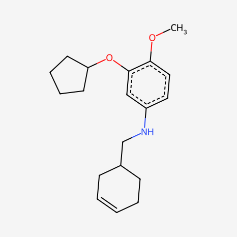 COc1ccc(NCC2CC=CCC2)cc1OC1CCCC1